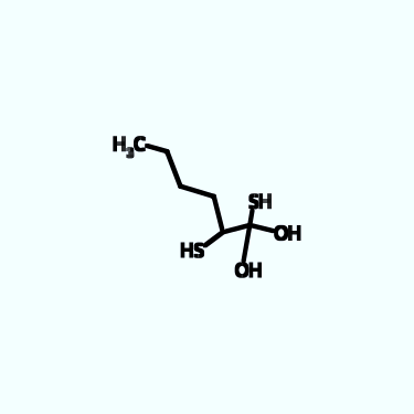 CCCCC(S)C(O)(O)S